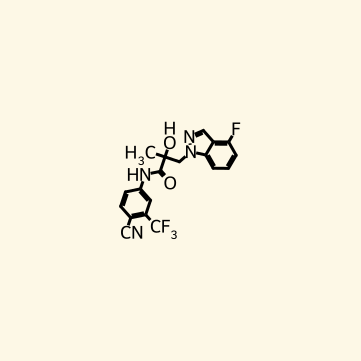 CC(O)(Cn1ncc2c(F)cccc21)C(=O)Nc1ccc(C#N)c(C(F)(F)F)c1